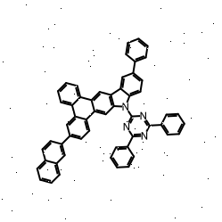 c1ccc(-c2ccc3c(c2)c2cc4c5ccccc5c5cc(-c6ccc7ccccc7c6)ccc5c4cc2n3-c2nc(-c3ccccc3)nc(-c3ccccc3)n2)cc1